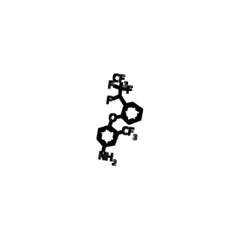 Nc1ccc(Oc2ccccc2C(F)C(F)(F)C(F)(F)F)c(C(F)(F)F)c1